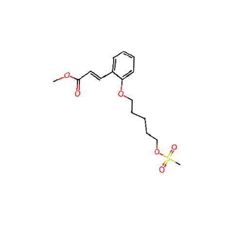 COC(=O)/C=C/c1ccccc1OCCCCCOS(C)(=O)=O